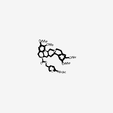 CCC1CN2CCc3cc(OC)c(OC)cc3C2CC1CC1c2cc(OC)c(OC)cc2CCN1C(=O)OCc1ccc(NC(C)=O)cc1